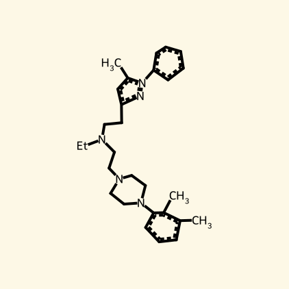 CCN(CCc1cc(C)n(-c2ccccc2)n1)CCN1CCN(c2cccc(C)c2C)CC1